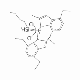 CCCC[SiH]=[Hf]([Cl])([Cl])([CH]1C(C)=Cc2c(CC)ccc(CC)c21)[CH]1C(C)=Cc2c(CC)ccc(CC)c21